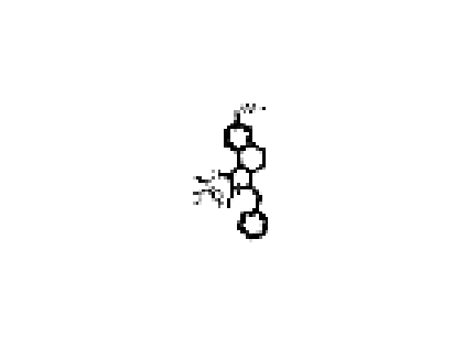 CCN1C(Cc2ccccc2)C2CCc3cc(OC)ccc3C2C1OS(C)(=O)=O